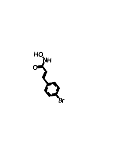 O=C(C=Cc1ccc(Br)cc1)NO